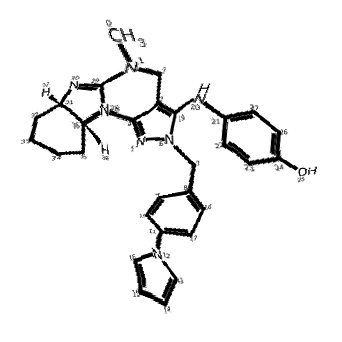 CN1Cc2c(nn(Cc3ccc(-n4cccc4)cc3)c2Nc2ccc(O)cc2)N2C1=N[C@H]1CCCC[C@H]12